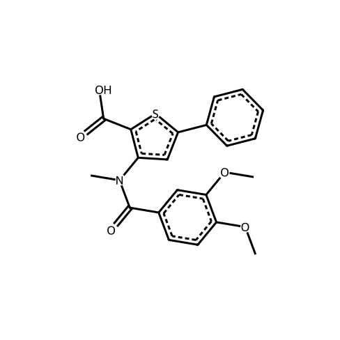 COc1ccc(C(=O)N(C)c2cc(-c3ccccc3)sc2C(=O)O)cc1OC